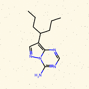 CCCC(CCC)c1cnn2c(N)ncnc12